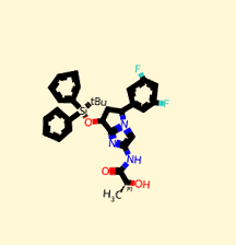 C[C@@H](O)C(=O)Nc1cn2c(n1)C(O[Si](c1ccccc1)(c1ccccc1)C(C)(C)C)CC2c1cc(F)cc(F)c1